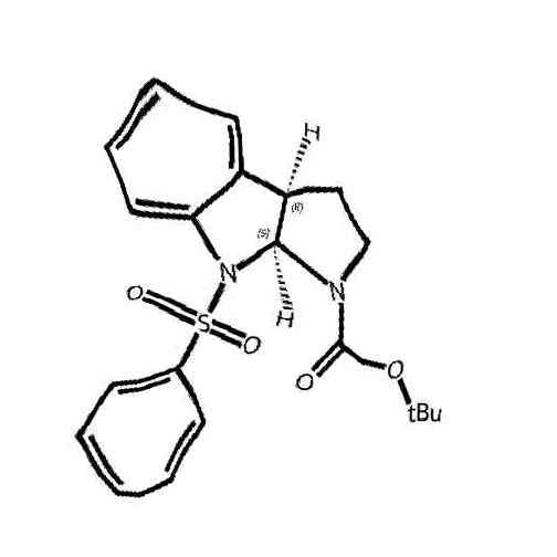 CC(C)(C)OC(=O)N1CC[C@@H]2c3ccccc3N(S(=O)(=O)c3ccccc3)[C@@H]21